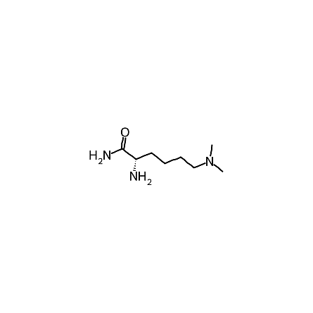 CN(C)CCCC[C@H](N)C(N)=O